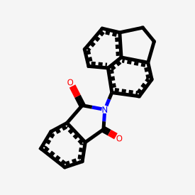 O=C1c2ccccc2C(=O)N1c1ccc2c3c(cccc13)CC2